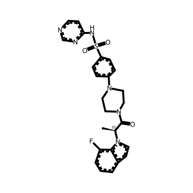 C[C@@H](C(=O)N1CCN(c2ccc(S(=O)(=O)Nc3ccncn3)cc2)CC1)n1ccc2cccc(F)c21